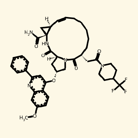 COc1ccc2c(O[C@@H]3C[C@H]4C(=O)N[C@]5(C(N)=O)C[C@H]5/C=C\CCCCC[C@H](CC(=O)N5CCC(C(F)(F)F)CC5)C(=O)N4C3)cc(-c3ccccc3)nc2c1